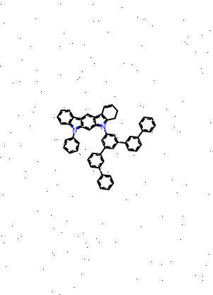 C1=Cc2c(n(-c3cc(-c4cccc(-c5ccccc5)c4)cc(-c4cccc(-c5ccccc5)c4)c3)c3cc4c(cc23)c2ccccc2n4-c2ccccc2)CC1